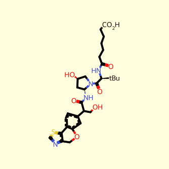 CC(C)(C)[C@H](NC(=O)CCCCCC(=O)O)C(=O)N1C[C@H](O)C[C@H]1NC(=O)C(CO)c1ccc2c(c1)OCc1ncsc1-2